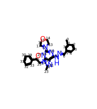 Cc1cccc(/C=N/Nc2nc(N3CCOCC3)nc3c2nc(C)n3CC(=O)c2ccccc2)c1